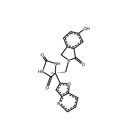 O=C1NC(=O)[C@](CN2Cc3ccc(O)cc3C2=O)(c2cc3ncccc3o2)N1